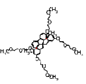 COCCOCCOc1cc(CC2(Cc3cc(OCCOCCOC)cc(OCCOCCOC)c3)c3cc(C)ccc3-c3ccc(C)cc32)cc(OCCOCCOC)c1